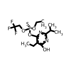 CCOP(=S)(OCC(F)(F)F)Oc1nc(C(C)C)nc(O)c1CC